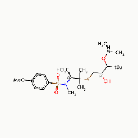 COc1ccc(S(=O)(=O)N(C)[C@@H](C(=O)O)C(C)(C)SC[C@@H](O)C(O[SiH](C)C)C(C)(C)C)cc1